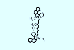 CC(=C\C=C\C1=[N+](C)c2ccc3ccccc3c2C12CCCCC2)/C=C(C)/C=C/C=C1/N(C)c2ccc3ccccc3c2C12CCCCC2